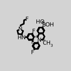 C[C@@H]1Cc2cc(B(O)O)ccc2[C@@H](c2c(F)cc(NC3CCN(CCCF)C3)cc2F)N1C1=C=C=C(F)C=C1